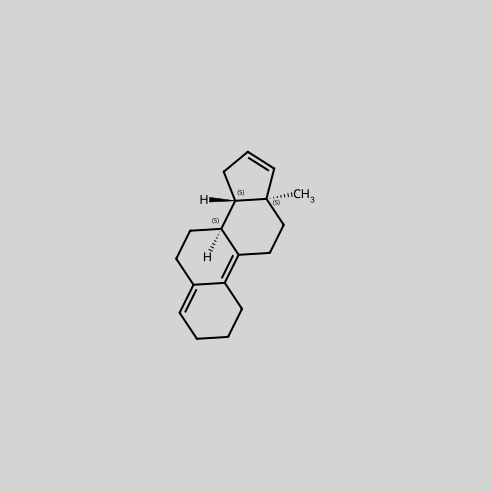 C[C@@]12C=CC[C@H]1[C@@H]1CCC3=CCCCC3=C1CC2